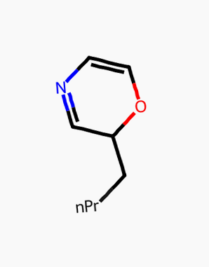 CCCCC1C=NC=CO1